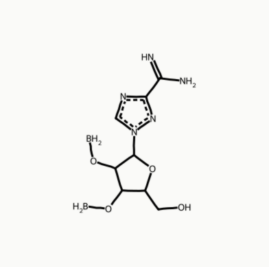 BOC1C(CO)OC(n2cnc(C(=N)N)n2)C1OB